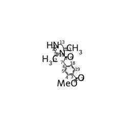 COC(=O)c1ccc(CC(=O)N2[C@H](C)CNC[C@@H]2C)cc1